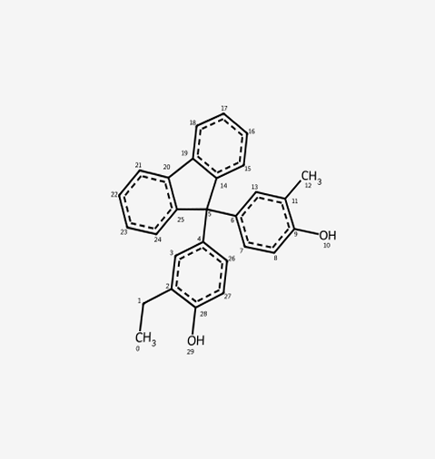 CCc1cc(C2(c3ccc(O)c(C)c3)c3ccccc3-c3ccccc32)ccc1O